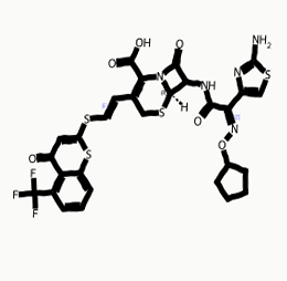 Nc1nc(/C(=N/OC2CCCC2)C(=O)NC2C(=O)N3C(C(=O)O)=C(/C=C/Sc4cc(=O)c5c(C(F)(F)F)cccc5s4)CS[C@H]23)cs1